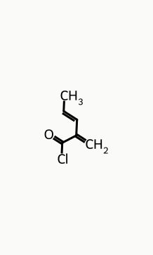 C=C(C=CC)C(=O)Cl